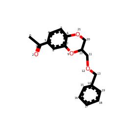 CC(=O)c1ccc2c(c1)OC(COCc1ccccc1)CO2